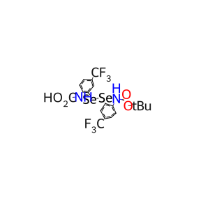 CC(C)(C)OC(=O)Nc1ccc(C(F)(F)F)cc1[Se][Se]c1cc(C(F)(F)F)ccc1NC(=O)O